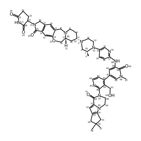 C[C@H]1CN([C@H]2CCN3Cc4cc5c(cc4OC[C@H]3C2)C(=O)N(C2CCC(=O)NC2=O)C5)CCN1c1ccc(Nc2cc(-c3ccnc(N4CCn5c(cc6c5CC(C)(C)C6)C4=O)c3CO)cn(C)c2=O)nc1